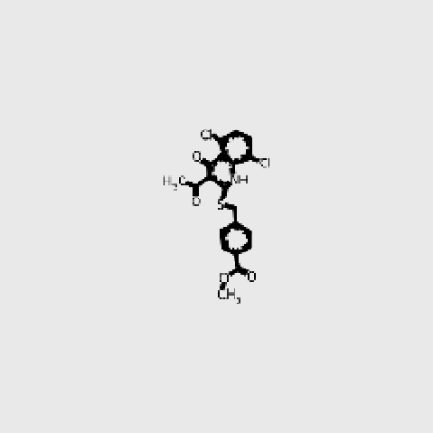 COC(=O)c1ccc(CSc2[nH]c3c(Cl)ccc(Cl)c3c(=O)c2C(C)=O)cc1